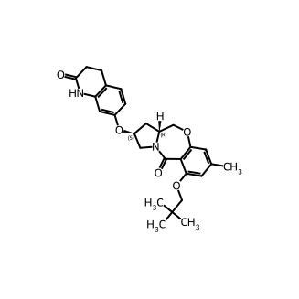 Cc1cc2c(c(OCC(C)(C)C)c1)C(=O)N1C[C@@H](Oc3ccc4c(c3)NC(=O)CC4)C[C@@H]1CO2